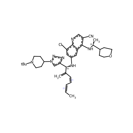 C=C(/C=C\C=C/C)[C@H](Nc1cc(Cl)c2ncc(C#N)c(N[C@@H](C)C3CCOCC3)c2c1)c1cn(C2CCN(C(C)(C)C)CC2)nn1